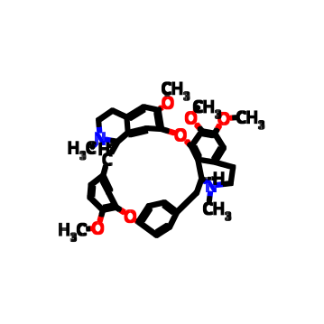 COc1ccc2cc1Oc1ccc(cc1)C[C@H]1c3c(cc(OC)c(OC)c3Oc3cc4c(cc3OC)CCN(C)[C@@H]4C2)CCN1C